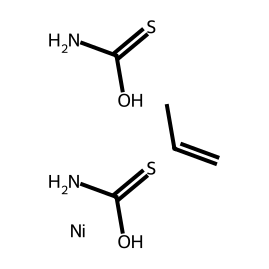 C=CC.NC(O)=S.NC(O)=S.[Ni]